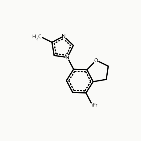 Cc1cn(-c2ccc(C(C)C)c3c2OCC3)cn1